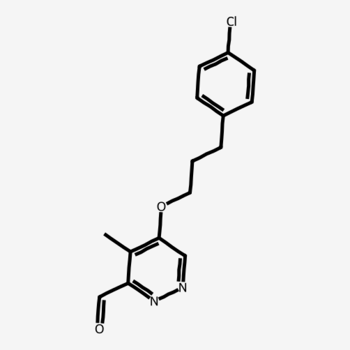 Cc1c(OCCCc2ccc(Cl)cc2)cnnc1C=O